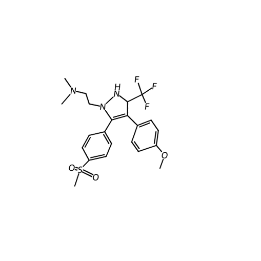 COc1ccc(C2=C(c3ccc(S(C)(=O)=O)cc3)N(CCN(C)C)NC2C(F)(F)F)cc1